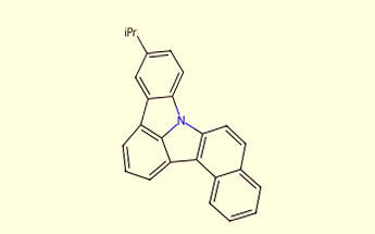 CC(C)c1ccc2c(c1)c1cccc3c4c5ccccc5ccc4n2c13